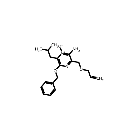 C=CCOCc1nc(OCc2ccccc2)c(CC(C)C)[n+]([O-])c1N